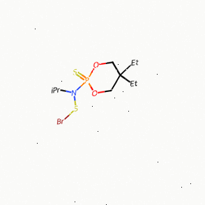 CCC1(CC)COP(=S)(N(SBr)C(C)C)OC1